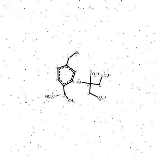 CC(C)Cc1ccc([C@H](C)C(=O)O)cc1.O=C(O)CC(O)(CC(=O)O)C(=O)O